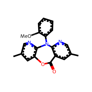 COc1ccccc1N1c2ncc(C)cc2OC(=O)c2cc(C)cnc21